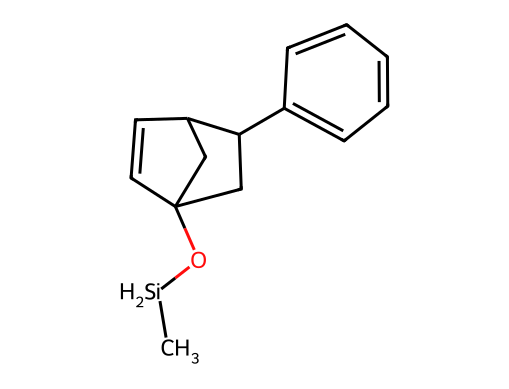 C[SiH2]OC12C=CC(C1)C(c1ccccc1)C2